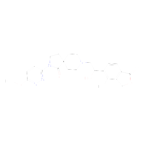 COc1ccc(N2CCC3(CCN(CC(O)c4ccc5c(c4C)COC5=O)CC3)C2=O)nn1